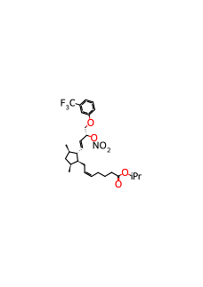 CC(C)OC(=O)CCC/C=C\C[C@@H]1[C@@H](/C=C/[C@H](COc2cccc(C(F)(F)F)c2)O[N+](=O)[O-])[C@H](C)C[C@@H]1C